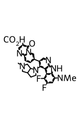 CNc1cc(F)c(F)c2c1[nH]c1ncc(-c3ccc4ncc(C(=O)O)c(=O)n4c3)c(N3CCC4CN(C)CC43)c12